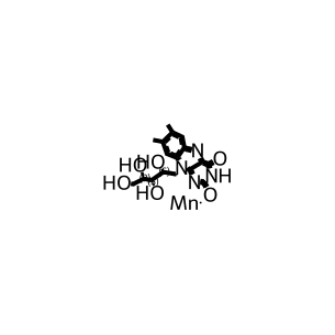 Cc1cc2nc3c(=O)[nH]c(=O)nc-3n(C[C@H](O)[C@H](O)[C@H](O)CO)c2cc1C.[Mn]